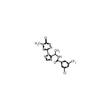 CC(NC(=O)c1cc(Cl)cc(C(F)(F)F)c1)c1ncnn1-c1nnc(=O)n(C)n1